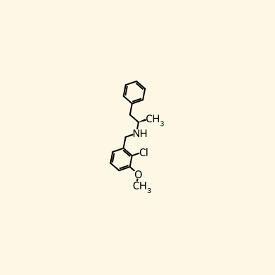 COc1cccc(CN[C@H](C)Cc2ccccc2)c1Cl